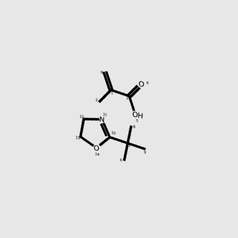 C=C(C)C(=O)O.CC(C)(C)C1=NCCO1